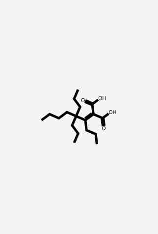 CCCCC(CCC)(CCC)C(CCC)=C(C(=O)O)C(=O)O